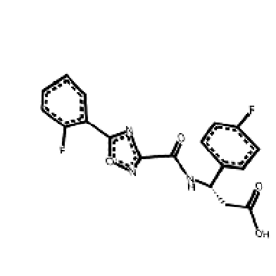 O=C(O)C[C@H](NC(=O)c1noc(-c2ccccc2F)n1)c1ccc(F)cc1